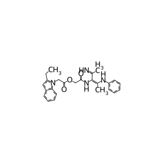 CCc1cc2ccccc2n1CC(=O)OCC(=O)N/C(C(C)=N)=C(\C)Nc1ccccc1